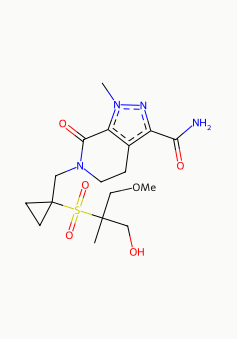 COCC(C)(CO)S(=O)(=O)C1(CN2CCc3c(C(N)=O)nn(C)c3C2=O)CC1